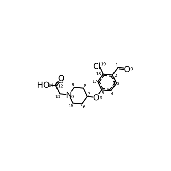 O=Cc1ccc(OC2CCN(CC(=O)O)CC2)cc1Cl